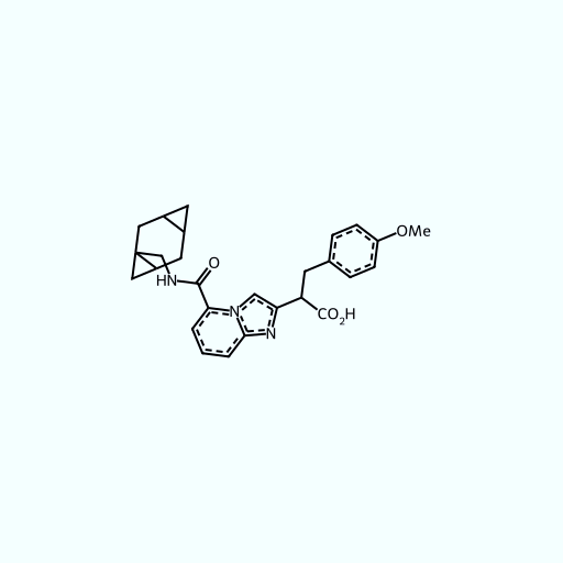 COc1ccc(CC(C(=O)O)c2cn3c(C(=O)NCC45CC6CC6CC4C5)cccc3n2)cc1